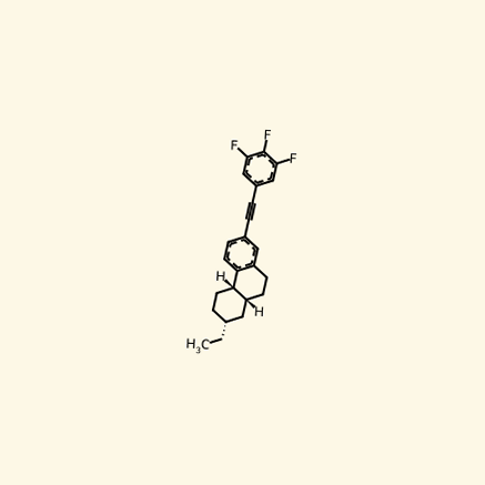 CC[C@@H]1CC[C@@H]2c3ccc(C#Cc4cc(F)c(F)c(F)c4)cc3CC[C@@H]2C1